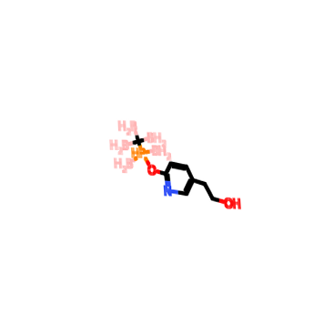 BC(B)(B)[PH](B)(B)Oc1ccc(CCO)cn1